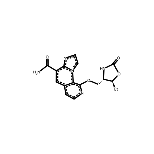 CC[C@@H]1OC(=O)N[C@H]1COc1nccc2cc(C(N)=O)c3nccn3c12